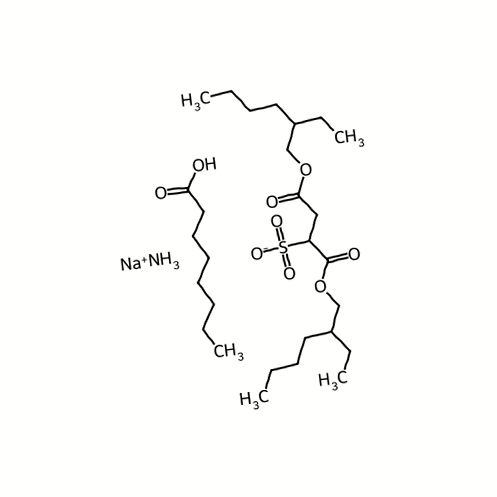 CCCCC(CC)COC(=O)CC(C(=O)OCC(CC)CCCC)S(=O)(=O)[O-].CCCCCCCC(=O)O.N.[Na+]